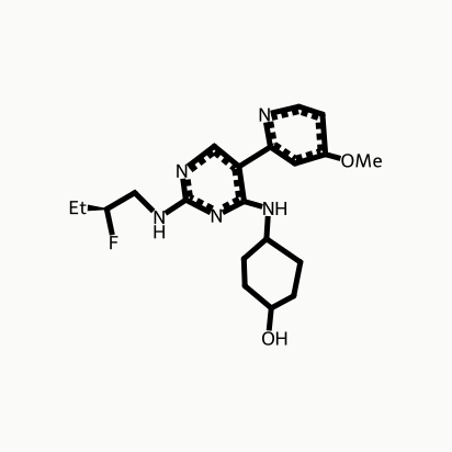 CC[C@H](F)CNc1ncc(-c2cc(OC)ccn2)c(NC2CCC(O)CC2)n1